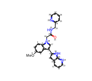 COc1ccc2c(c1)c(-c1cc3cccnc3[nH]1)cn2CC(=O)NCc1ccccn1